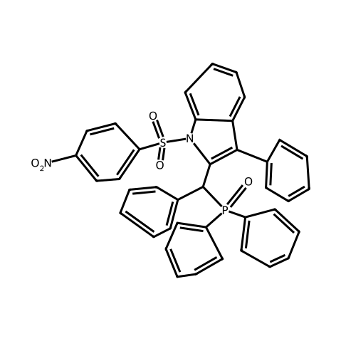 O=[N+]([O-])c1ccc(S(=O)(=O)n2c(C(c3ccccc3)P(=O)(c3ccccc3)c3ccccc3)c(-c3ccccc3)c3ccccc32)cc1